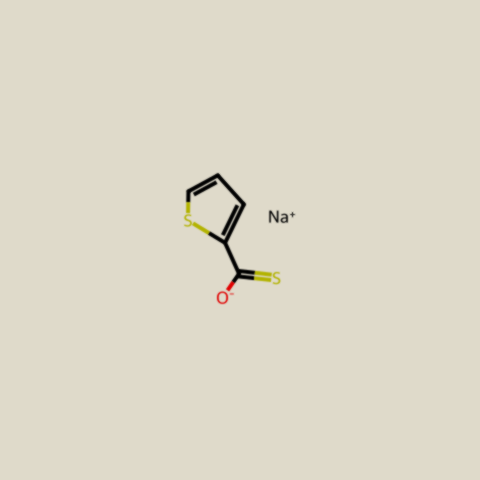 [Na+].[O-]C(=S)c1cccs1